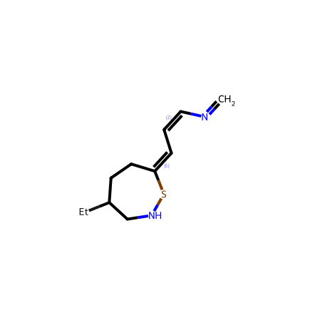 C=N/C=C\C=C1/CCC(CC)CNS1